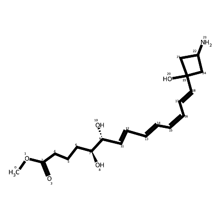 COC(=O)CCC[C@H](O)[C@H](O)/C=C/C=C/C=C\C=C\C1(O)CC(N)C1